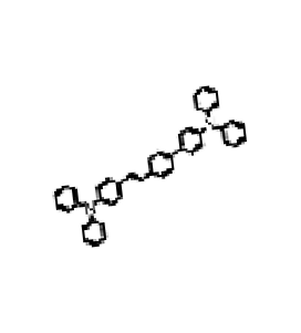 C(=Cc1ccc(N(c2ccccc2)c2ccccc2)cc1)c1ccc(-c2ccc(N(c3ccccc3)c3ccccc3)cc2)cc1